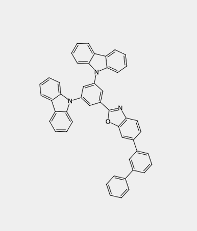 c1ccc(-c2cccc(-c3ccc4nc(-c5cc(-n6c7ccccc7c7ccccc76)cc(-n6c7ccccc7c7ccccc76)c5)oc4c3)c2)cc1